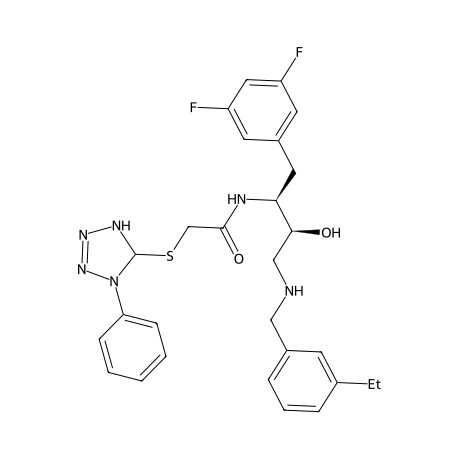 CCc1cccc(CNC[C@H](O)[C@H](Cc2cc(F)cc(F)c2)NC(=O)CSC2NN=NN2c2ccccc2)c1